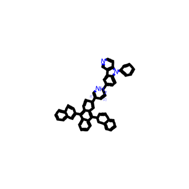 N/C=C(\C=C/Cc1ccc2c(c1)c1cnccc1n2-c1ccccc1)c1ccc2c(-c3ccc4ccccc4c3)c3ccccc3c(C3C=Cc4ccccc4C3)c2c1